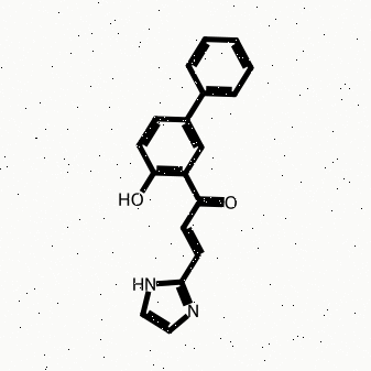 O=C(C=Cc1ncc[nH]1)c1cc(-c2ccccc2)ccc1O